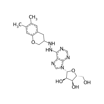 Cc1cc2c(cc1C)OCC(NNc1ncnc3c1ncn3[C@@H]1O[C@H](CO)[C@@H](O)[C@H]1O)C2